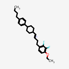 CCCCc1ccc(C2CCC(/C=C/CCc3ccc(OCC)c(F)c3F)CC2)cc1